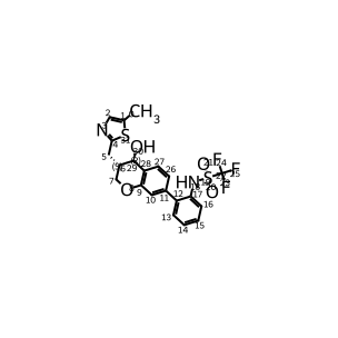 Cc1cnc(C[C@H]2COc3cc(-c4ccccc4NS(=O)(=O)C(F)(F)F)ccc3[C@@H]2O)s1